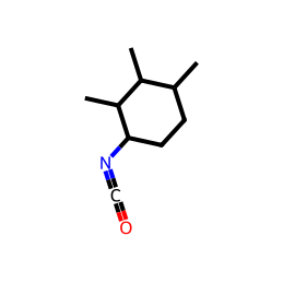 CC1CCC(N=C=O)C(C)C1C